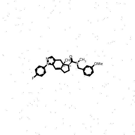 COc1cccc(CN(C)C(=O)[C@H]2CCC3=Cc4c(cnn4-c4ccc(F)cc4)C[C@@]32C)c1